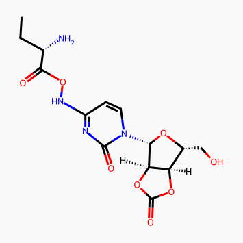 CC[C@H](N)C(=O)ONc1ccn([C@@H]2O[C@H](CO)[C@H]3OC(=O)O[C@H]32)c(=O)n1